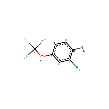 Fc1cc(OC(F)(F)F)ccc1Cl